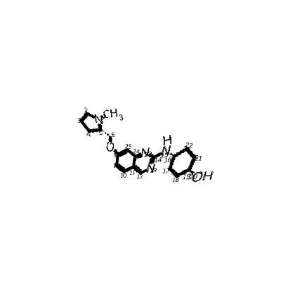 CN1CCC[C@H]1COc1ccc2cnc(N[C@H]3CC[C@H](O)CC3)nc2c1